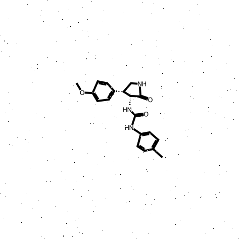 COc1ccc([C@@H]2CNC(=O)[C@@H]2NC(=O)Nc2ccc(C)cc2)cc1